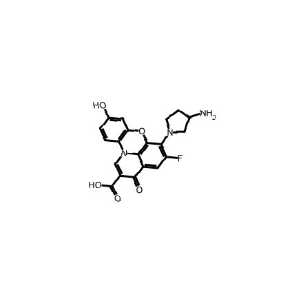 NC1CCN(c2c(F)cc3c(=O)c(C(=O)O)cn4c3c2Oc2cc(O)ccc2-4)C1